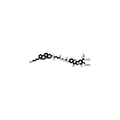 CCc1c2c(nc3ccc(OC(=O)OCOC(=O)CCC(=O)OC4CCC5(C)C(=CCC6C7CCC(CCCCC(C)C)C7(C)CC[C@@H]65)C4)cc13)-c1cc(C(C=O)OSI)c(COC)c(=O)n1C2